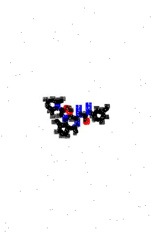 CC1=N[C@@H](NC(=O)Nc2cccc(C)c2)C(=O)N(CC(=O)N2C(C)CCCC2C)c2c(C)cccc21